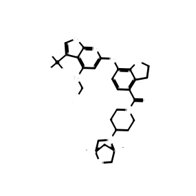 CCNc1cc(Nc2ccc(C(=O)N3CCC(N4C[C@H]5C[C@@H]4CO5)CC3)c3c2OCC3)nc2[nH]cc(C(F)(F)F)c12